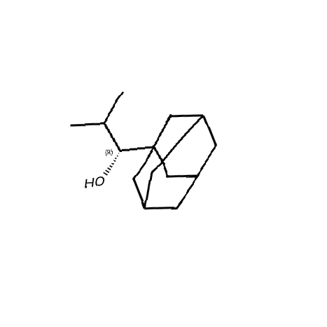 CC(C)[C@@H](O)C12CC3CC(CC(C3)C1)C2